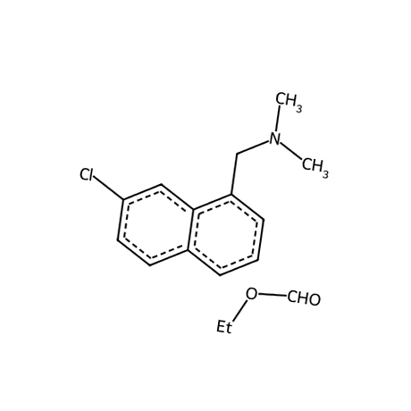 CCOC=O.CN(C)Cc1cccc2ccc(Cl)cc12